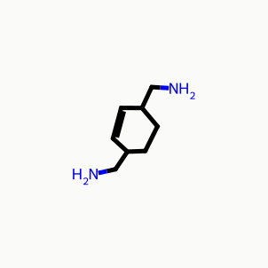 NCC1C=CC(CN)CC1